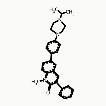 CC(C)N1CCN(c2ccc(-c3ccc4c(c3)cc(-c3ccccc3)c(=O)n4C)cc2)CC1